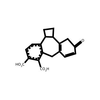 O=C1C=CC2=C(C1)C1CCC1c1ccc(C(=O)O)c(C(=O)O)c1C2